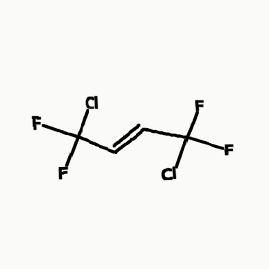 FC(F)(Cl)C=CC(F)(F)Cl